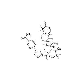 CC1(C)CC[C@]2(C(=O)n3cnc(-c4ccc(C(N)=O)cn4)c3)CC[C@]3(C)[C@H](C(=O)C=C4[C@@]5(C)C=CC(=O)C(C)(C)C5CC[C@]43C)C2C1C#N